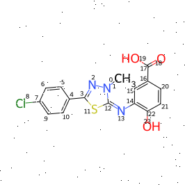 Cn1nc(-c2ccc(Cl)cc2)s/c1=N/c1cc(C(=O)O)ccc1O